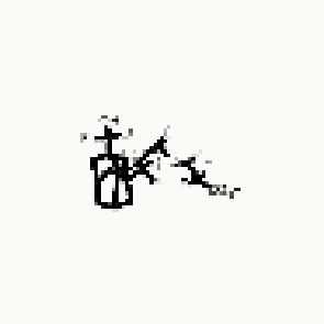 CCC(O)(CC)C12CC3CC(C1)C(OCC(=O)OC(O)C(F)(F)S(=O)(=O)O)C(C(O)(CC)CC)(C3)C2